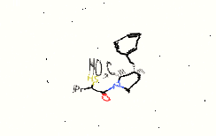 CC(C)C(S)C(=O)N1CC[C@@H](Cc2ccccc2)[C@H]1C(=O)O